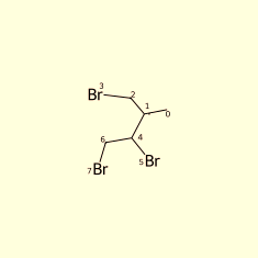 C[C](CBr)C(Br)CBr